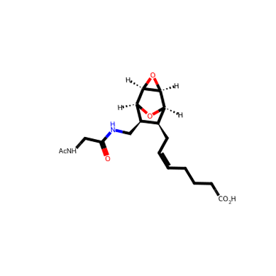 CC(=O)NCC(=O)NC[C@@H]1[C@H](C/C=C\CCCC(=O)O)[C@H]2O[C@@H]1[C@H]1O[C@H]12